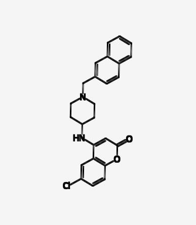 O=c1cc(NC2CCN(Cc3ccc4ccccc4c3)CC2)c2cc(Cl)ccc2o1